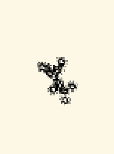 c1ccc(-c2cc(-c3ccccc3)nc(-n3c4ccccc4c4cc(-n5c6ccc(-c7ccccc7)nc6c6c7sc8ccccc8c7ccc65)ccc43)c2)cc1